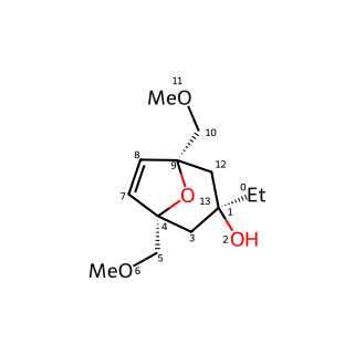 CC[C@]1(O)C[C@@]2(COC)C=C[C@@](COC)(C1)O2